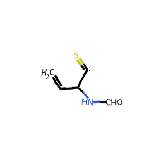 C=CC([C]=S)NC=O